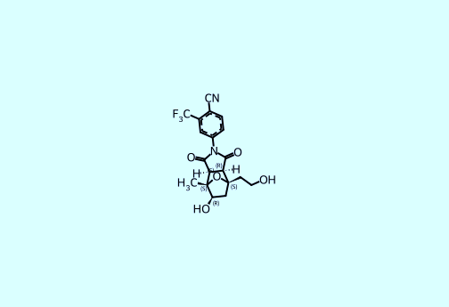 C[C@@]12O[C@@](CCO)(C[C@H]1O)[C@@H]1C(=O)N(c3ccc(C#N)c(C(F)(F)F)c3)C(=O)[C@@H]12